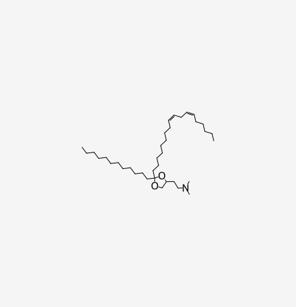 CCCCC/C=C\C/C=C\CCCCCCCCC1(CCCCCCCCCCCC)OCC(CCN(C)C)O1